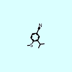 CSc1ccc(C#N)cc1[C](C)C